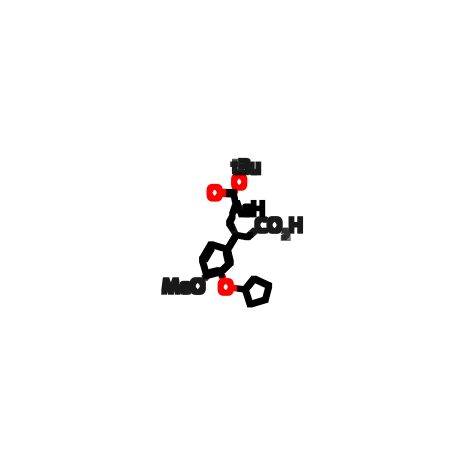 COc1ccc([C@@H](C[AsH]C(=O)OC(C)(C)C)CC(=O)O)cc1OC1CCCC1